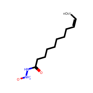 CCCCCCCC/C=C\CCCCCCCC(=O)N[NH2+][O-]